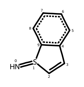 N=S1C=Cc2ccccc21